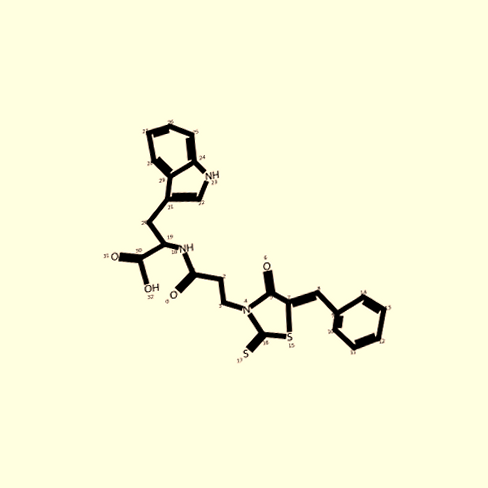 O=C(CCN1C(=O)/C(=C/c2ccccc2)SC1=S)NC(Cc1c[nH]c2ccccc12)C(=O)O